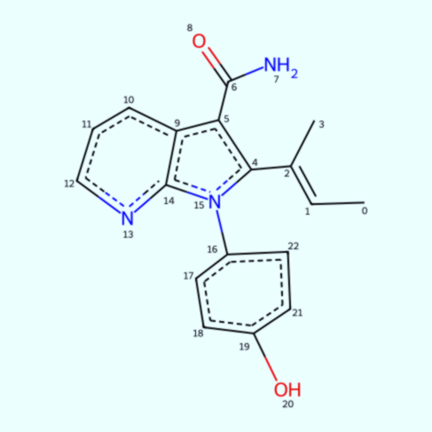 C/C=C(\C)c1c(C(N)=O)c2cccnc2n1-c1ccc(O)cc1